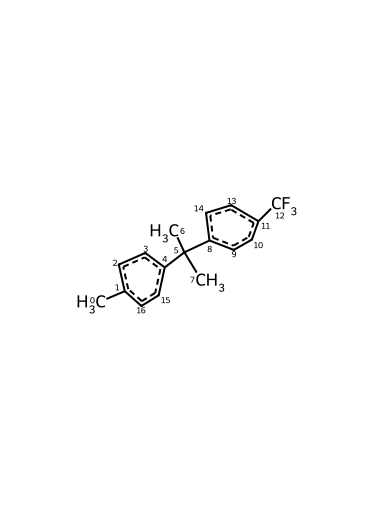 Cc1ccc(C(C)(C)c2ccc(C(F)(F)F)cc2)cc1